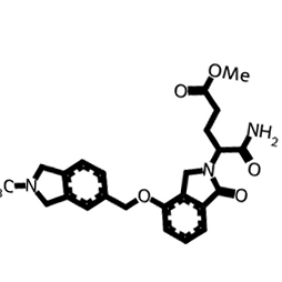 COC(=O)CCC(C(N)=O)N1Cc2c(OCc3ccc4c(c3)CN(C)C4)cccc2C1=O